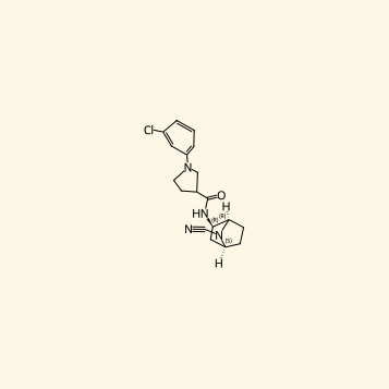 N#CN1[C@H]2CC[C@@H]1[C@H](NC(=O)C1CCN(c3cccc(Cl)c3)C1)C2